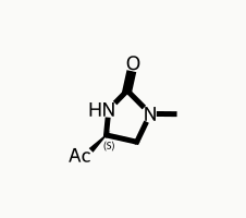 CC(=O)[C@@H]1CN(C)C(=O)N1